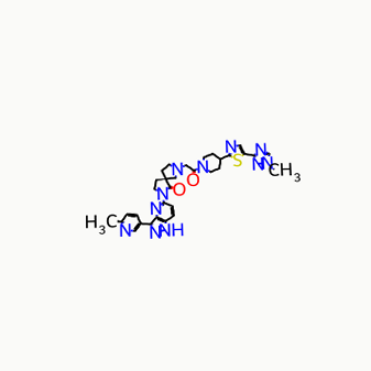 Cc1ccc(-c2n[nH]c3ccc(N4CC[C@]5(CCN(CC(=O)N6CCC(c7ncc(-c8ncn(C)n8)s7)CC6)C5)C4=O)nc23)cn1